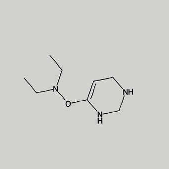 CCN(CC)OC1=CCNCN1